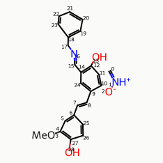 C=[NH+][O-].COc1cc(/C=C/c2ccc(O)c(/C=N/Cc3ccccc3)c2)ccc1O